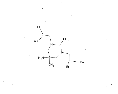 CCCCC(CC)CN1CC(C)(N)CN(CC(CC)CCCC)C1C